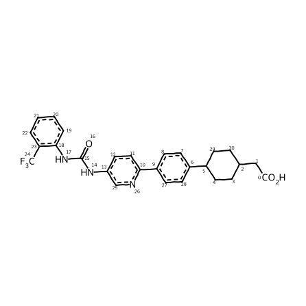 O=C(O)CC1CCC(c2ccc(-c3ccc(NC(=O)Nc4ccccc4C(F)(F)F)cn3)cc2)CC1